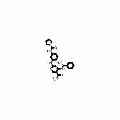 C[C@@H](Nc1nc(Nc2cccc(NC(=O)N3CC=CC3)c2)ncc1C(N)=O)c1ccccc1